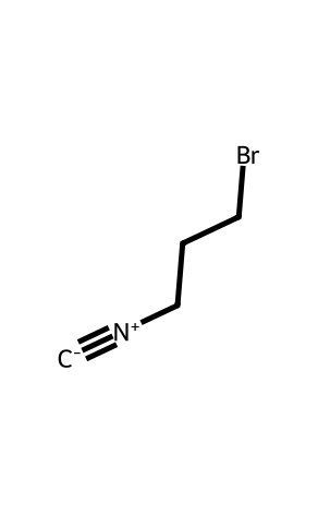 [C-]#[N+]CCCBr